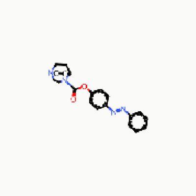 O=C(Oc1ccc(/N=N/c2ccccc2)cc1)N1CCN2CCC1CC2